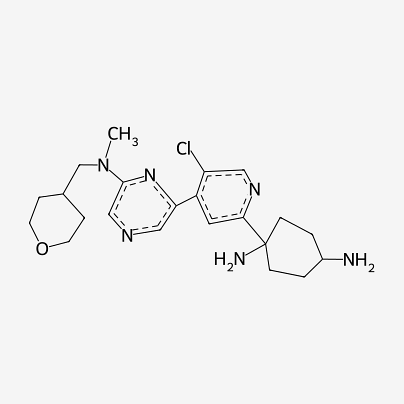 CN(CC1CCOCC1)c1cncc(-c2cc(C3(N)CCC(N)CC3)ncc2Cl)n1